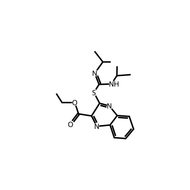 CCOC(=O)c1nc2ccccc2nc1S/C(=N/C(C)C)NC(C)C